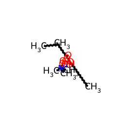 CCCCCCCCCCCCCCCCCC(=O)OC(COC(=O)CCCCCCCC[C@H](C)CCCCCCCC)COP(=O)(O)OCC[N+](CCC)(CCC)CCC